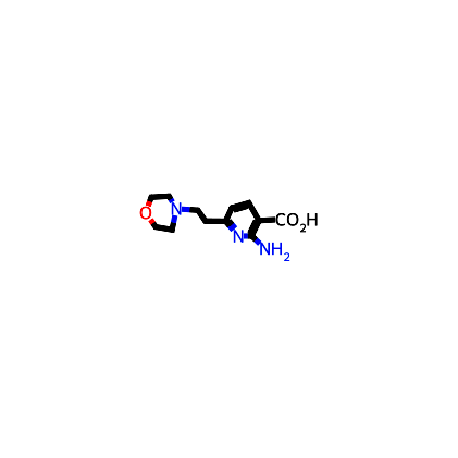 Nc1nc(CCN2CCOCC2)ccc1C(=O)O